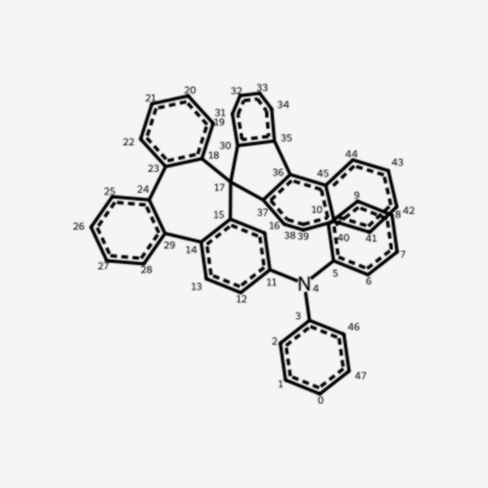 c1ccc(N(c2ccccc2)c2ccc3c(c2)C2(c4ccccc4-c4ccccc4-3)c3ccccc3-c3c2ccc2ccccc32)cc1